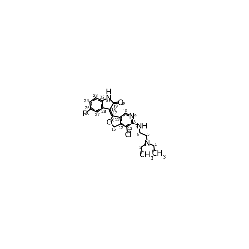 CCN(CC)CCNc1ncc2c(c1Cl)COC2=C1C(=O)Nc2ccc(F)cc21